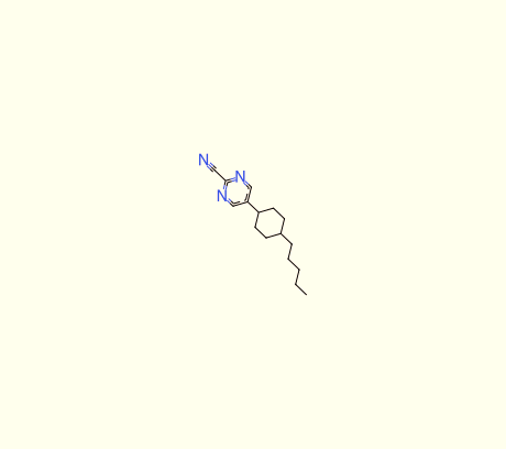 CCCCCC1CCC(c2cnc(C#N)nc2)CC1